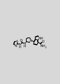 NC(=O)c1ccc(N2CCCC(NC(=O)Nc3nccs3)C2)c2cc[nH]c12